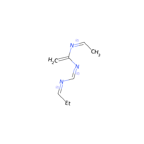 C=C(/N=C\C)/N=C\N=C/CC